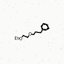 CCOCCOCCCc1cc[c]cc1